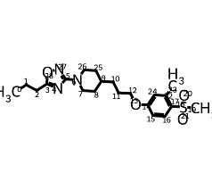 CCCc1nc(N2CCC(CCCOc3ccc(S(C)(=O)=O)c(C)c3)CC2)no1